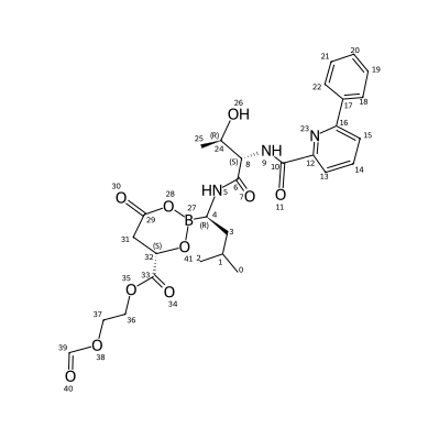 CC(C)C[C@H](NC(=O)[C@@H](NC(=O)c1cccc(-c2ccccc2)n1)[C@@H](C)O)B1OC(=O)C[C@@H](C(=O)OCCOC=O)O1